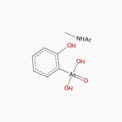 CNC(C)=O.O=[As](O)(O)c1ccccc1O